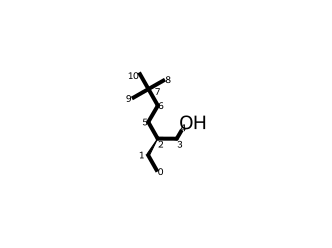 CC[C@H](CO)CCC(C)(C)C